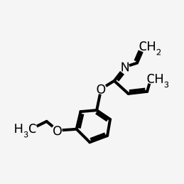 C=C/N=C(\C=C/C)Oc1cccc(OCC)c1